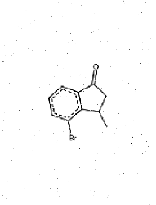 CC1CC(=O)c2cccc(Br)c21